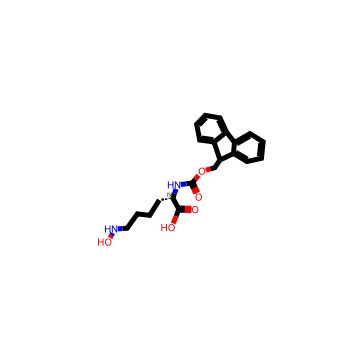 O=C(N[C@@H](CCCCNO)C(=O)O)OCC1c2ccccc2-c2ccccc21